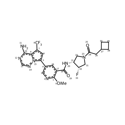 COc1ncc(-c2cc(C(F)(F)F)c3c(N)ncnn23)cc1C(=O)N[C@@H]1CN(C(=O)CC2CCC2)C[C@@H]1F